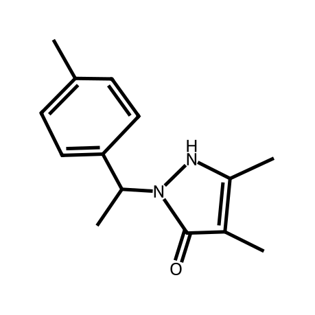 Cc1ccc(C(C)n2[nH]c(C)c(C)c2=O)cc1